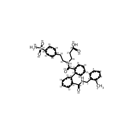 Cc1ccccc1CNC(=O)c1ccccc1-c1ccccc1C(=O)N(CCC(=O)O)CCc1ccc(S(N)(=O)=O)cc1